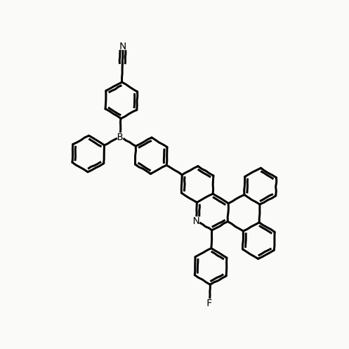 N#Cc1ccc(B(c2ccccc2)c2ccc(-c3ccc4c(c3)nc(-c3ccc(F)cc3)c3c5ccccc5c5ccccc5c43)cc2)cc1